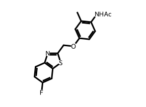 CC(=O)Nc1ccc(OCc2nc3ccc(F)cc3s2)cc1C